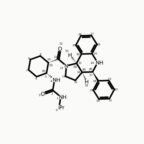 CC(C)NC(=O)N[C@@H]1CCCC[C@@H]1C(=O)N1CC[C@@H]2[C@H](c3ccccc3)Nc3ccccc3[C@@H]21